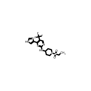 CCS(=O)(=O)N1CCC(Nc2ncc(C(F)(F)F)c(-c3c[nH]cn3)n2)CC1